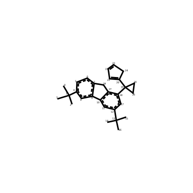 CC(C)(C)c1ccc2c(c1)-c1cc(C(C)(C)C)cc(C3(C4=CC=CC4)CC3)c1C2